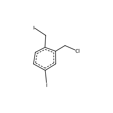 ClCc1cc(I)ccc1CI